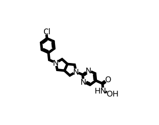 O=C(NO)c1cnc(N2CC3CN(Cc4ccc(Cl)cc4)CC3C2)nc1